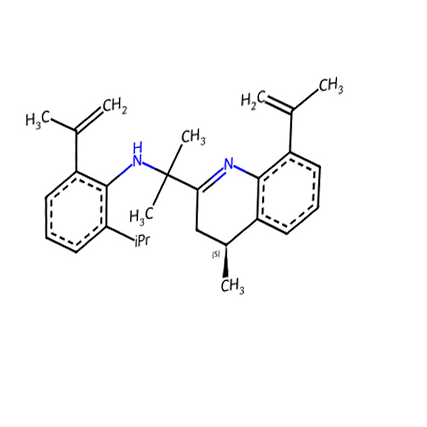 C=C(C)c1cccc2c1N=C(C(C)(C)Nc1c(C(=C)C)cccc1C(C)C)C[C@@H]2C